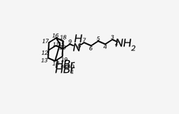 Br.Br.NCCCCCNCC12CC3CC(CC(C3)C1)C2